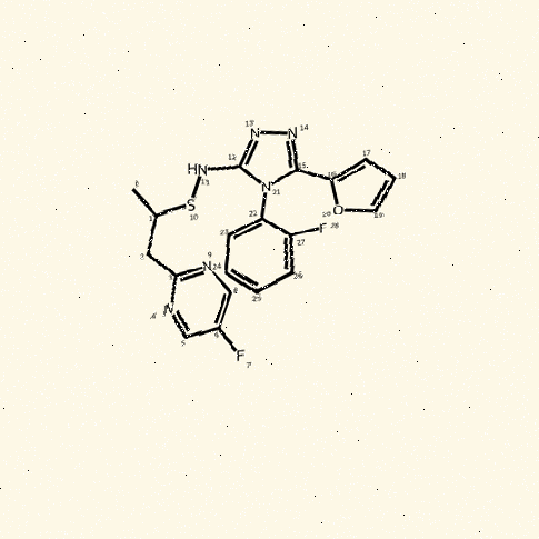 CC(Cc1ncc(F)cn1)SNc1nnc(-c2ccco2)n1-c1ccccc1F